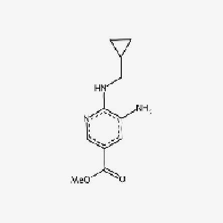 COC(=O)c1cnc(NCC2CC2)c(N)c1